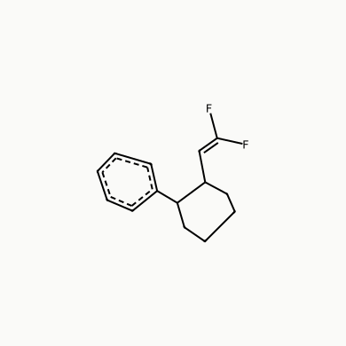 FC(F)=CC1CCCCC1c1ccccc1